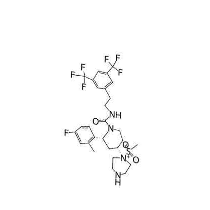 Cc1cc(F)ccc1[C@H]1C[C@@H]([N+]2(S(C)(=O)=O)CCNCC2)CCN1C(=O)NCCc1cc(C(F)(F)F)cc(C(F)(F)F)c1